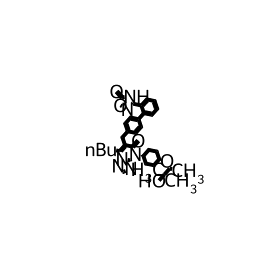 CCCCc1c(Cc2ccc(-c3ccccc3-c3noc(=O)[nH]3)cc2)c(=O)n([C@H]2CC[C@H](OC(C)C(C)(C)O)CC2)c2ncnn12